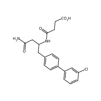 NC(=O)CC(Cc1ccc(-c2cccc(Cl)c2)cc1)NC(=O)CCC(=O)O